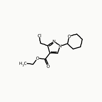 CCOC(=O)c1cn(C2CCCCO2)nc1CCl